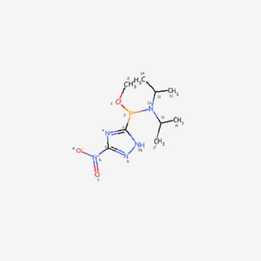 COP(c1nc([N+](=O)[O-])n[nH]1)N(C(C)C)C(C)C